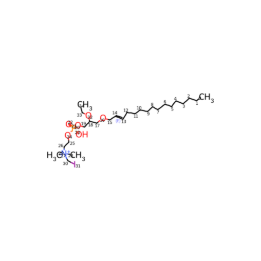 CCCCCCCCCCCCC/C=C/COCC(COP(=O)(O)OCC[N+](C)(C)CI)OCC